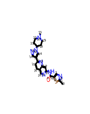 Cc1ncc(C(=O)Nc2cc3nc(-c4cnn(C5CCN(C)CC5)c4)ccc3cn2)s1